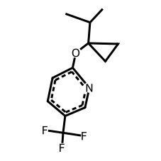 CC(C)C1(Oc2ccc(C(F)(F)F)cn2)CC1